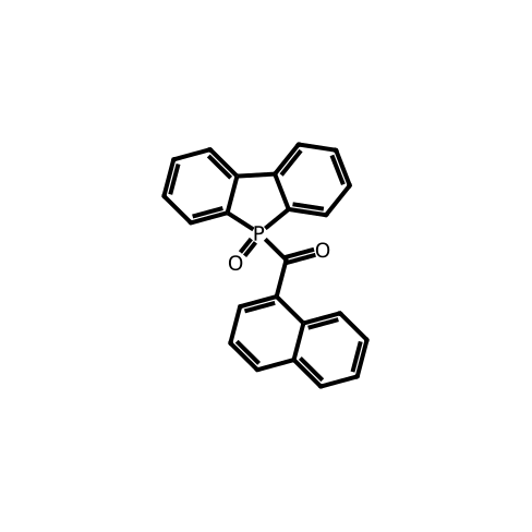 O=C(c1cccc2ccccc12)P1(=O)c2ccccc2-c2ccccc21